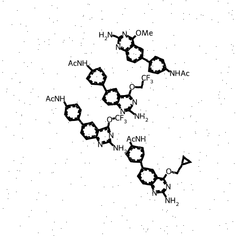 CC(=O)Nc1ccc(-c2ccc3nc(N)nc(OC(F)(F)F)c3c2)cc1.CC(=O)Nc1ccc(-c2ccc3nc(N)nc(OCC(F)(F)F)c3c2)cc1.CC(=O)Nc1ccc(-c2ccc3nc(N)nc(OCC4CC4)c3c2)cc1.COc1nc(N)nc2ccc(-c3ccc(NC(C)=O)cc3)cc12